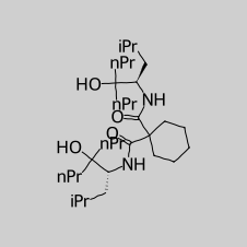 CCCC(O)(CCC)[C@@H](CC(C)C)NC(=O)C1(C(=O)N[C@H](CC(C)C)C(O)(CCC)CCC)CCCCC1